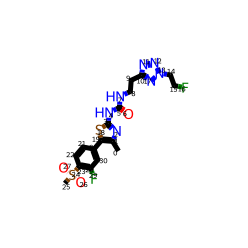 Cc1nc(NC(=O)NCCc2nnn(CCF)n2)sc1-c1ccc(S(C)(=O)=O)c(F)c1